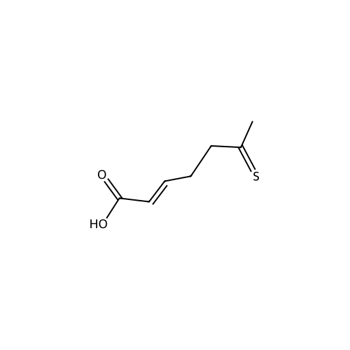 CC(=S)CCC=CC(=O)O